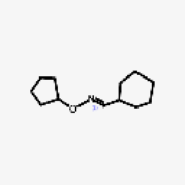 [C](=N\OC1CCCC1)/C1CCCCC1